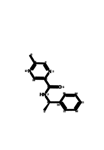 Cc1cnc(C(=O)N[C@H](C)c2ccccc2)cn1